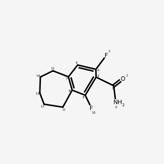 NC(=O)c1c(F)cc2c(c1F)CCCCC2